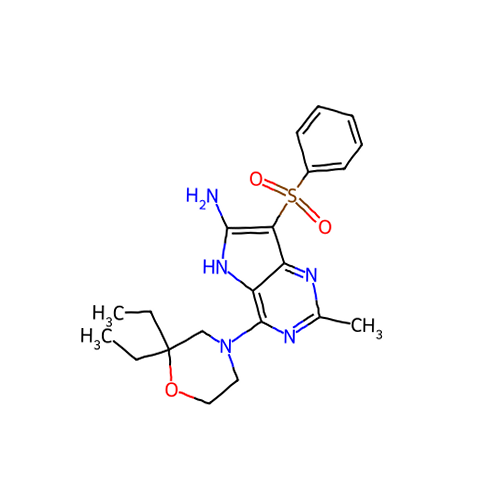 CCC1(CC)CN(c2nc(C)nc3c(S(=O)(=O)c4ccccc4)c(N)[nH]c23)CCO1